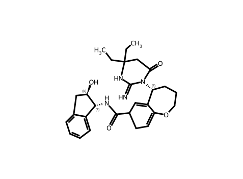 CCC1(CC)CC(=O)N([C@@H]2CCCOC3=CCC(C(=O)N[C@@H]4c5ccccc5C[C@H]4O)C=C32)C(=N)N1